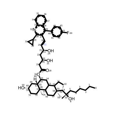 CCCCCC[C@](C)(O)[C@H]1CCC2C3C[C@H](OC(=O)C[C@H](O)C[C@H](O)/C=C/c4c(C5CC5)nc5ccccc5c4-c4ccc(F)cc4)[C@H]4C[C@@H](O)CC[C@]4(C)C3CC[C@@]21C